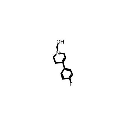 OCN1CC=C(c2ccc(F)cc2)CC1